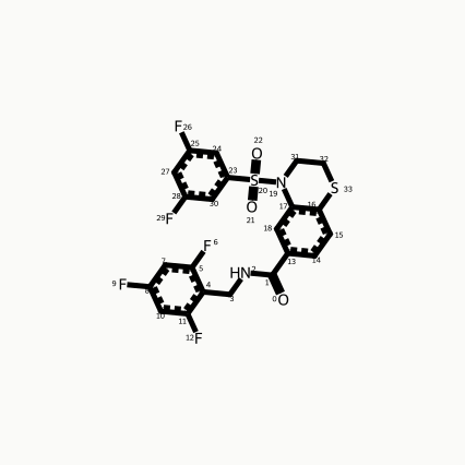 O=C(NCc1c(F)cc(F)cc1F)c1ccc2c(c1)N(S(=O)(=O)c1cc(F)cc(F)c1)CCS2